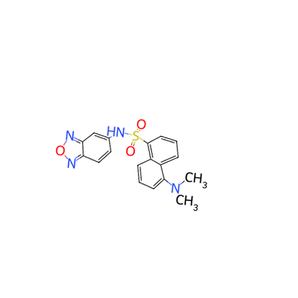 CN(C)c1cccc2c(S(=O)(=O)Nc3ccc4nonc4c3)cccc12